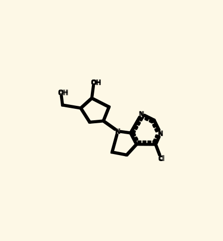 OCC1CC(N2CCc3c(Cl)ncnc32)CC1O